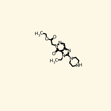 CCOC(=O)Cn1ncc2nc(N3CCNCC3)n(CC)c2c1=O